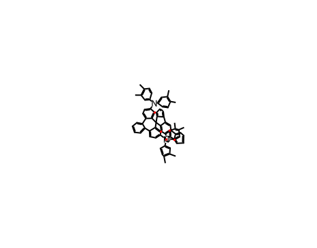 Cc1ccc(N(c2ccc(C)c(C)c2)c2ccc3c(c2)C2(c4cc(N(c5ccc(C)c(C)c5)c5ccc(C)c(C)c5)ccc4-c4ccccc4-3)c3ccccc3-c3cc4c(cc32)oc2ccccc24)cc1C